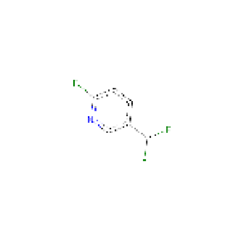 Fc1ccc(C(F)F)cn1